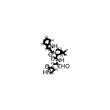 CC1(C)C2CN(C(=O)c3cc4ccccc4[nH]3)C(C(=O)NC(C=O)C[C@@H]3CCNC3=O)C21